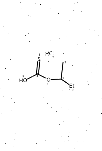 CCC(C)OC(O)=S.Cl